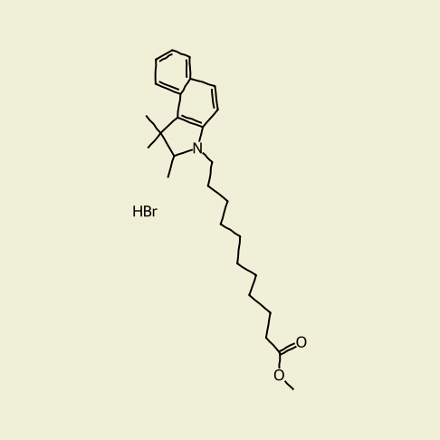 Br.COC(=O)CCCCCCCCCCN1c2ccc3ccccc3c2C(C)(C)C1C